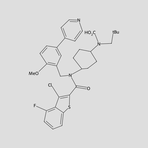 COc1ccc(-c2ccncc2)cc1CN(C(=O)c1sc2cccc(F)c2c1Cl)C1CCC(N(CC(C)(C)C)C(=O)O)CC1